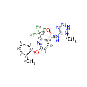 Cc1ccccc1Oc1ccc(C(=O)Nc2nnnn2C)c(C(F)(F)F)n1